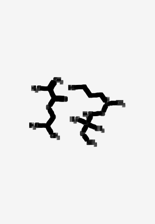 C=C(C)C(=O)OCC(C)C.C[SiH](CCCS)O[SiH2][Si](C)(C)O[SiH3]